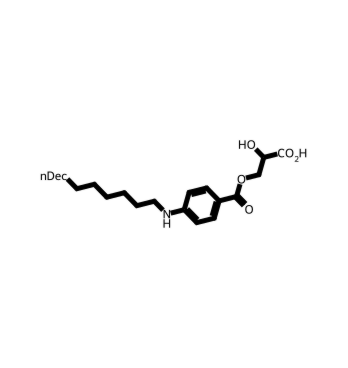 CCCCCCCCCCCCCCCCNc1ccc(C(=O)OCC(O)C(=O)O)cc1